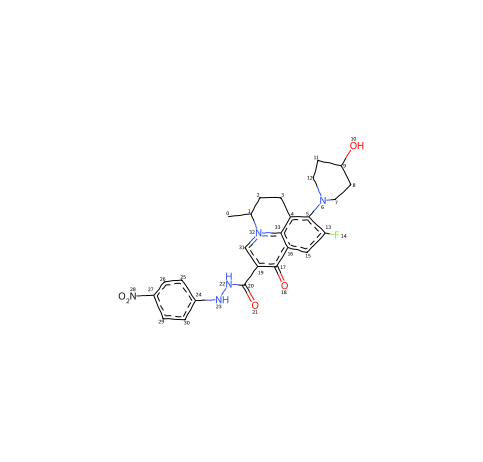 CC1CCc2c(N3CCC(O)CC3)c(F)cc3c(=O)c(C(=O)NNc4ccc([N+](=O)[O-])cc4)cn1c23